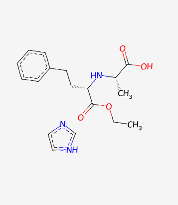 CCOC(=O)[C@H](CCc1ccccc1)N[C@@H](C)C(=O)O.c1c[nH]cn1